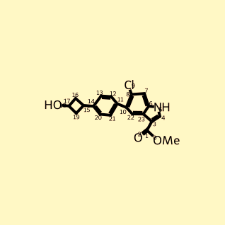 COC(=O)c1c[nH]c2cc(Cl)c(-c3ccc(C4CC(O)C4)cc3)cc12